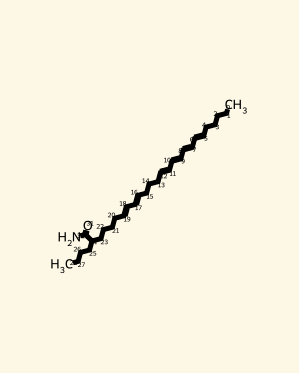 CCCCCC=CC=CC=CC=CCCCC=CC=CCCCCC(CCCC)C(N)=O